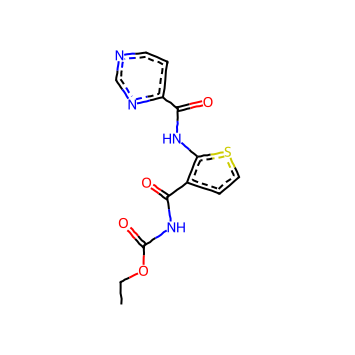 CCOC(=O)NC(=O)c1ccsc1NC(=O)c1ccncn1